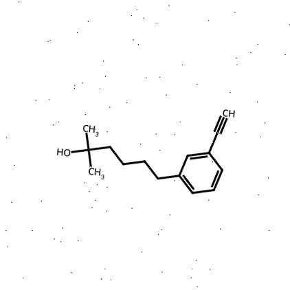 C#Cc1cccc(CCCCC(C)(C)O)c1